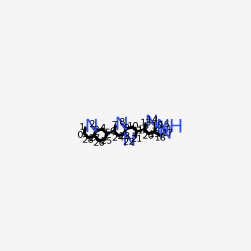 c1cnc2cc(-c3cnc4cc(-c5cnc6[nH]ncc6c5)cnc4c3)ccc2c1